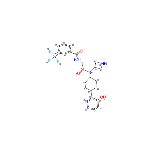 O=C(NCC(=O)N(C1CCC(c2ncccc2O)CC1)C1CNC1)c1cccc(C(F)(F)F)c1